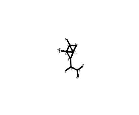 CC(C)C(C)C1C2(F)C3(C)CC132